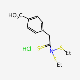 CCSN(SCC)C(=S)Cc1ccc(C(=O)O)cc1.Cl